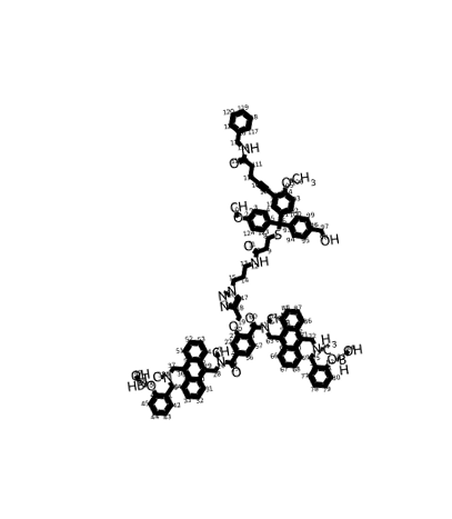 COc1ccc(C(SCCC(=O)NCCCn2cc(COc3cc(C(=O)N(C)Cc4c5ccccc5c(CN(C)Cc5ccccc5OBO)c5ccccc45)ccc3C(=O)N(C)Cc3c4ccccc4c(CN(C)Cc4ccccc4OBO)c4ccccc34)nn2)(c2ccc(CO)cc2)c2ccc(OC)c(C#CCCC(=O)NCc3ccccc3)c2)cc1